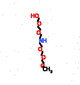 COCCOCCOCCNCCOCCOCCO